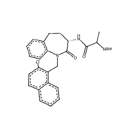 CNC(C)C(=O)N[C@H]1CCc2ccccc2N(Cc2c(Cl)ccc3ccccc23)C1=O